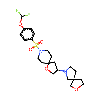 O=S(=O)(c1ccc(OC(F)F)cc1)N1CCC2(CC1)C[C@@H](N1CC[C@]3(CCOC3)C1)CO2